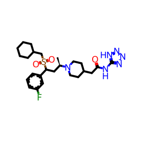 C[C@H](CC(c1cccc(F)c1)S(=O)(=O)CC1CCCCC1)N1CCC(CC(=O)Nc2nnn[nH]2)CC1